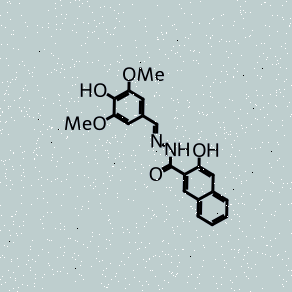 COc1cc(C=NNC(=O)c2cc3ccccc3cc2O)cc(OC)c1O